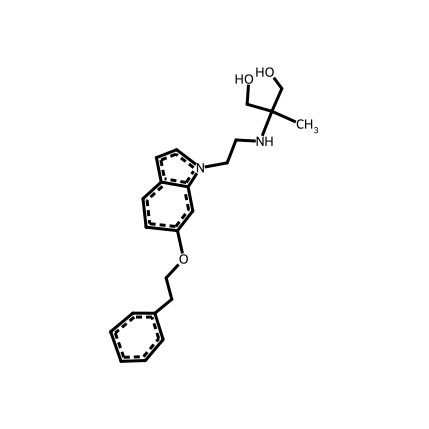 CC(CO)(CO)NCCn1ccc2ccc(OCCc3ccccc3)cc21